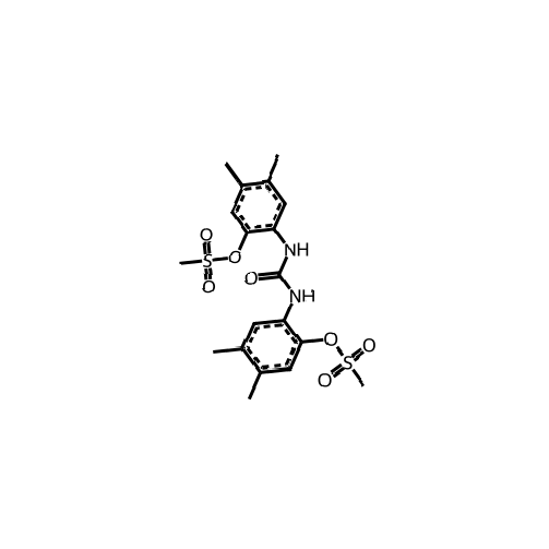 Cc1cc(NC(=O)Nc2cc(C)c(C)cc2OS(C)(=O)=O)c(OS(C)(=O)=O)cc1C